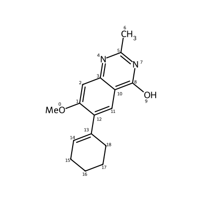 COc1cc2nc(C)nc(O)c2cc1C1=CCCCC1